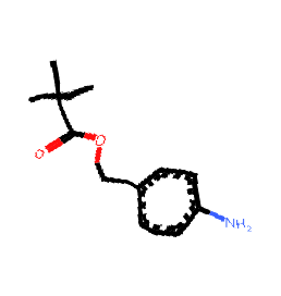 CC(C)(C)C(=O)OCc1ccc(N)cc1